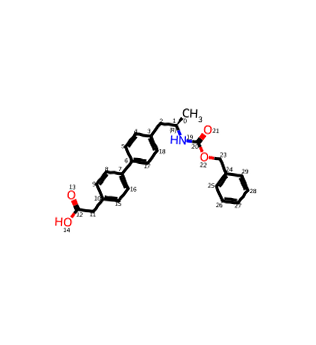 C[C@H](Cc1ccc(-c2ccc(CC(=O)O)cc2)cc1)NC(=O)OCc1ccccc1